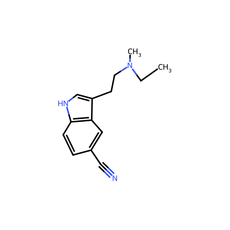 CCN(C)CCc1c[nH]c2ccc(C#N)cc12